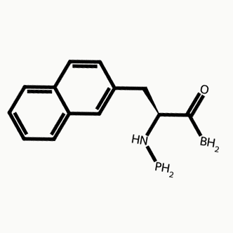 BC(=O)[C@H](Cc1ccc2ccccc2c1)NP